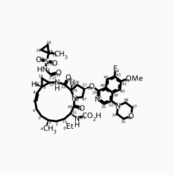 CC[C@@H]1C[C@@H](C)CC/C=C\[C@@H]2C[C@@]2(C(=O)NS(=O)(=O)C2(C)CC2)NC(=O)[C@@H]2C[C@@H](Oc3ncc(N4CCOCC4)c4cc(OC)c(F)cc34)CN2C(=O)[C@H]1NC(=O)O